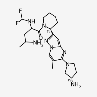 Cc1cn2nc([C@@H]3CCCCN3C(=O)C(CC(C)N)NC(F)F)cc2nc1N1CC[C@H](N)C1